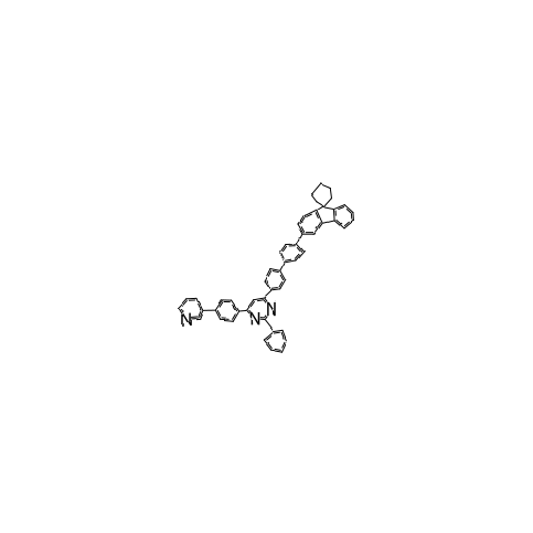 c1ccc(-c2nc(-c3ccc(-c4ccc(-c5ccc6c(c5)-c5ccccc5C65CCCCC5)cc4)cc3)cc(-c3ccc(-c4cccnc4)cc3)n2)cc1